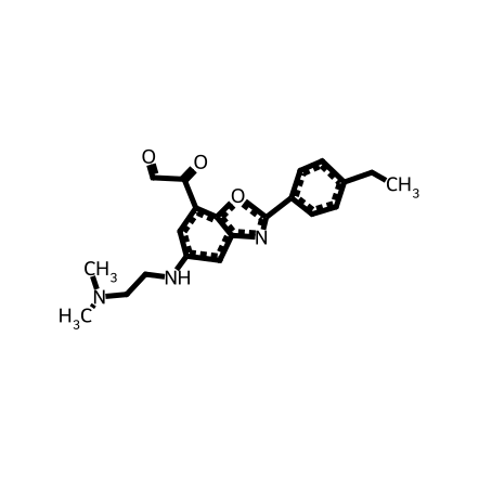 CCc1ccc(-c2nc3cc(NCCN(C)C)cc(C(=O)C=O)c3o2)cc1